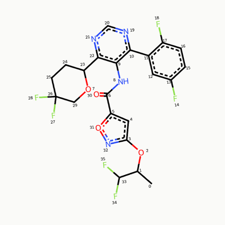 CC(Oc1cc(C(=O)Nc2c(-c3cc(F)ccc3F)ncnc2C2CCC(F)(F)CO2)on1)C(F)F